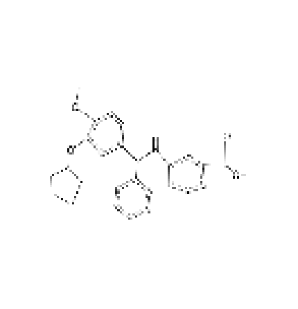 COc1ccc(C(Nc2cccc(C(=O)O)c2)c2cccnn2)cc1OC1CCCC1